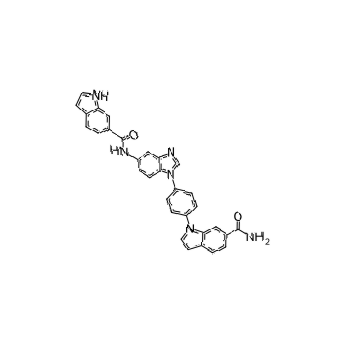 NC(=O)c1ccc2ccn(-c3ccc(-n4cnc5cc(NC(=O)c6ccc7cc[nH]c7c6)ccc54)cc3)c2c1